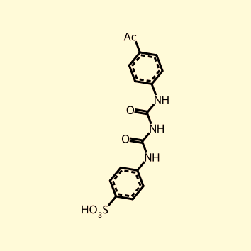 CC(=O)c1ccc(NC(=O)NC(=O)Nc2ccc(S(=O)(=O)O)cc2)cc1